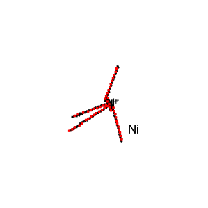 CCCCCCCCCCCCCCCCCCCCCCCCCCC=CC1=C(c2ccc(CCCCCCCCCCCCCCCCCCCCC)cc2)[N+](=[N-])C(c2ccc(CCCCCCCCCCCCCCCCCCCCC)cc2)=C1CCCCCCCCCCCCCCCCCCCCCCC.[Ni]